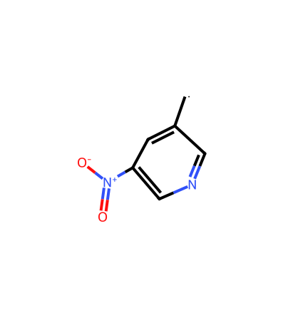 [CH2]c1cncc([N+](=O)[O-])c1